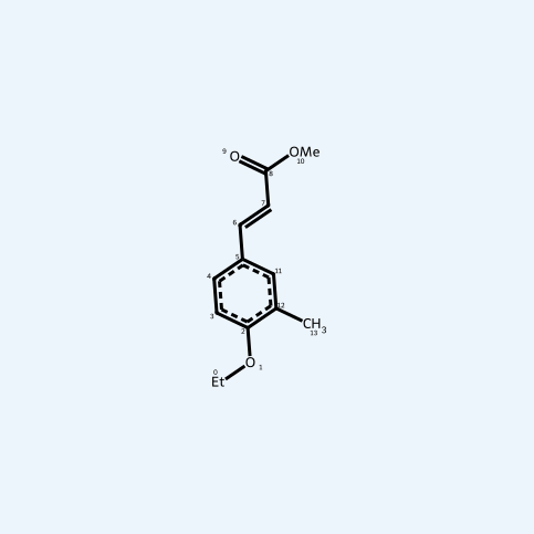 CCOc1ccc(C=CC(=O)OC)cc1C